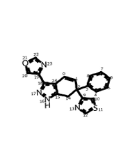 C1=CC(c2ccccc2)(c2cscn2)Cc2[nH]nc(-c3cocn3)c21